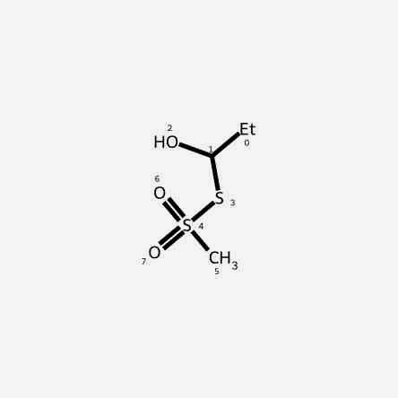 CCC(O)SS(C)(=O)=O